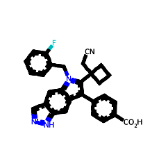 N#CCC1(c2c(-c3ccc(C(=O)O)cc3)c3cc4[nH]ncc4cc3n2Cc2ccccc2F)CCC1